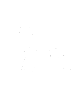 CN(C(=O)c1ccccc1)c1ccccc1C=Cc1n[nH]c2ccccc12